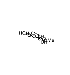 C=COC=C.COC(O)COCCOCCOCCO